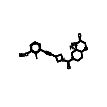 COc1cccc(C#CC2CN(C(=O)N3CCC4OCC(=O)N[C@@H]4C3)C2)c1C